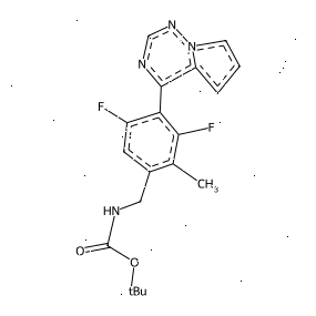 Cc1c(CNC(=O)OC(C)(C)C)cc(F)c(-c2ncnn3cccc23)c1F